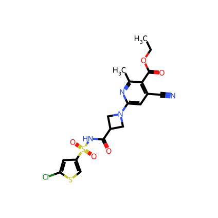 CCOC(=O)c1c(C#N)cc(N2CC(C(=O)NS(=O)(=O)c3csc(Cl)c3)C2)nc1C